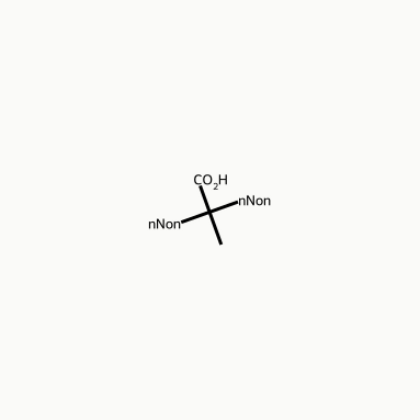 CCCCCCCCCC(C)(CCCCCCCCC)C(=O)O